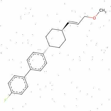 COC/C=C/[C@H]1CC[C@H](c2ccc(-c3ccc(F)cc3)cc2)CC1